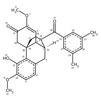 COC1=CC2[C@@H]3Cc4ccc(OC)c(O)c4[C@]2(CCN3C(=O)c2cc(C)cc(C)c2)CC1=O